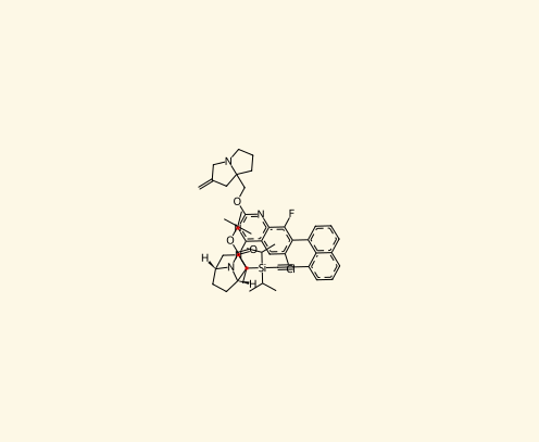 C=C1CN2CCCC2(COc2nc(N3C[C@H]4CC[C@@H](C3)N4C(=O)OC(C)(C)C)c3cc(Cl)c(-c4cccc5cccc(C#C[Si](C(C)C)(C(C)C)C(C)C)c45)c(F)c3n2)C1